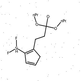 CCCOC([O])(CCC1=C([SiH](F)F)C=CC1)OCCC